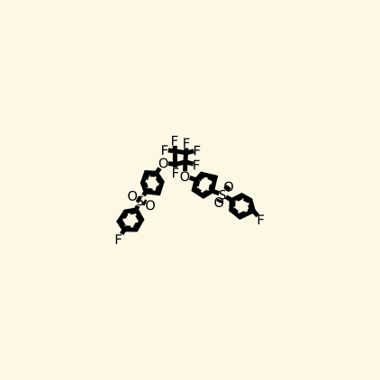 O=S(=O)(c1ccc(F)cc1)c1ccc(OC2(F)C(F)(F)C(F)(F)C2(F)Oc2ccc(S(=O)(=O)c3ccc(F)cc3)cc2)cc1